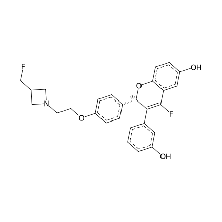 Oc1cccc(C2=C(F)c3cc(O)ccc3O[C@H]2c2ccc(OCCN3CC(CF)C3)cc2)c1